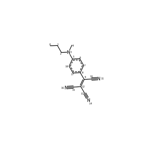 CCCN(C)c1ccc(C(C#N)=C(C#N)C#N)cc1